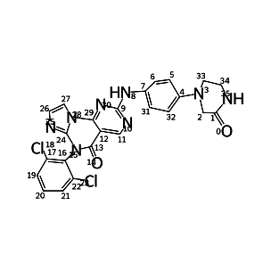 O=C1CN(c2ccc(Nc3ncc4c(=O)n(-c5c(Cl)cccc5Cl)c5nccn5c4n3)cc2)CCN1